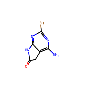 Nc1nc(S)nc2c1CC(=O)N2